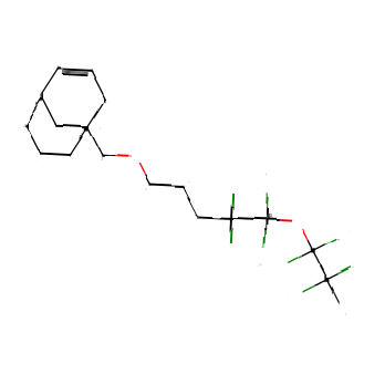 O=S(=O)(O)C(F)(F)C(F)(F)OC(F)(F)C(F)(F)CCCOCC12CC=CC(CCC1)C2